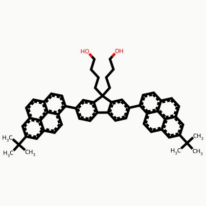 CC(C)(C)c1cc2ccc3ccc(-c4ccc5c(c4)C(CCCCO)(CCCCO)c4cc(-c6ccc7ccc8cc(C(C)(C)C)cc9ccc6c7c89)ccc4-5)c4ccc(c1)c2c34